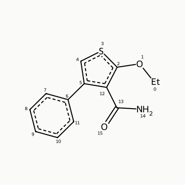 CCOc1scc(-c2ccccc2)c1C(N)=O